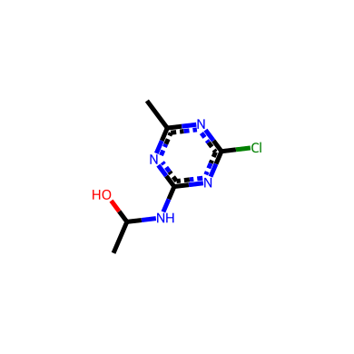 Cc1nc(Cl)nc(NC(C)O)n1